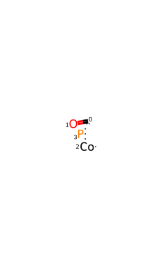 [C]=O.[Co].[P]